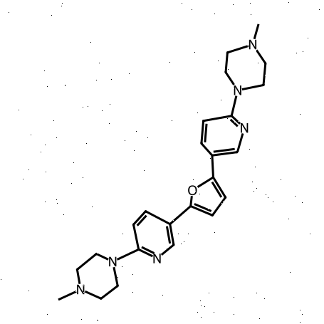 CN1CCN(c2ccc(-c3ccc(-c4ccc(N5CCN(C)CC5)nc4)o3)cn2)CC1